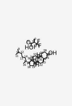 C=C(C(=O)O)C(F)(F)F.CC(C)CCCC(C)[C@H]1CC[C@H]2[C@@H]3CC=C4C[C@@H](O)CC[C@]4(C)[C@H]3CC[C@]12C